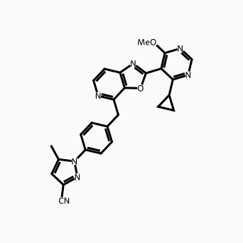 COc1ncnc(C2CC2)c1-c1nc2ccnc(Cc3ccc(-n4nc(C#N)cc4C)cc3)c2o1